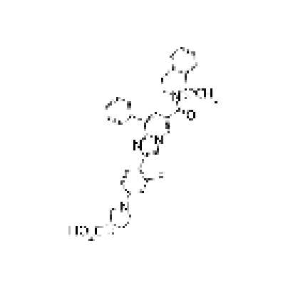 C[C@@H]1c2ccccc2CCN1C(=O)c1cc(-c2ccccc2)c2nc(-c3ccc(N4CC[C@H](C(=O)O)C4)cc3F)cn2c1